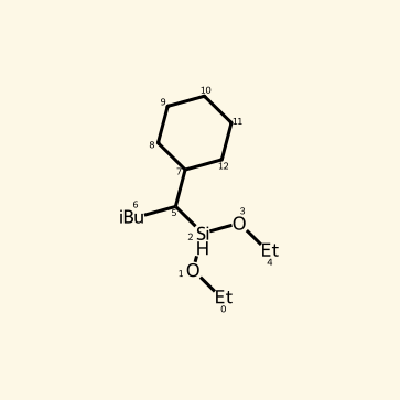 CCO[SiH](OCC)C(C(C)CC)C1CCCCC1